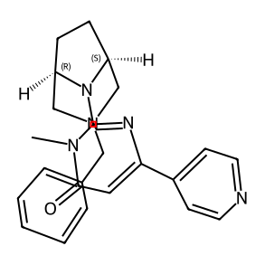 Cn1c(N2[C@@H]3CC[C@H]2CN(Cc2ccccc2)C3)nc(-c2ccncc2)cc1=O